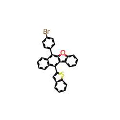 Brc1ccc(-c2c3ccccc3c(-c3cc4ccccc4s3)c3c2oc2ccccc23)cc1